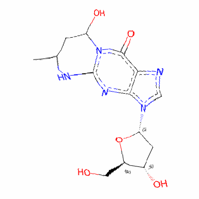 CC1CC(O)n2c(nc3c(ncn3[C@@H]3C[C@H](O)[C@@H](CO)O3)c2=O)N1